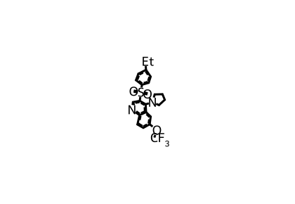 CCc1ccc(S(=O)(=O)c2cnc3ccc(OC(F)(F)F)cc3c2N2CCCC2)cc1